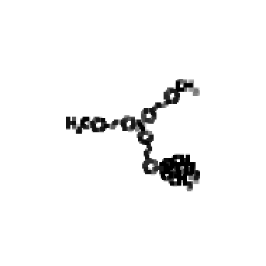 Cc1ccc(/C=C/c2ccc(N(c3ccc(/C=C/c4ccc(C)cc4)cc3)c3ccc(/C=C/c4cccc(B5OC(C)(C)C(C)(C)O5)c4)cc3)cc2)cc1